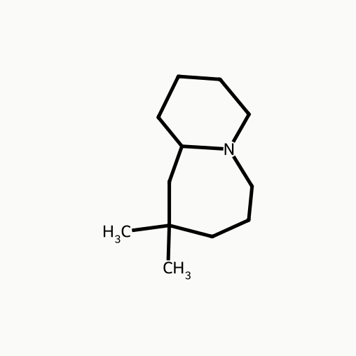 CC1(C)CCCN2CCCCC2C1